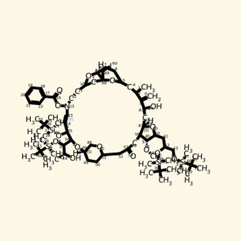 C=C1C(C)CC2CC[C@@H]3OC(CCN(OC(=O)c4ccccc4)/C=C/C(O[Si](C)(C)C(C)(C)C)C(C(O[Si](C)(C)C(C)(C)C)[C@H](C)O)O[C@H]4CCC(CC(=O)CC5[C@@H](OC)C(CC(CO[Si](C)(C)C(C)(C)C)O[Si](C)(C)C(C)(C)C)O[C@H]5CC1O)OC4)CC3(CI)O2